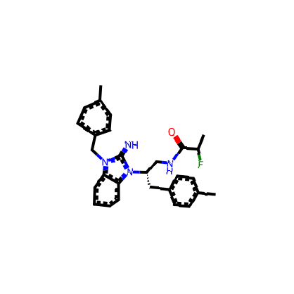 Cc1ccc(C[C@@H](CNC(=O)C(C)F)n2c(=N)n(Cc3ccc(C)cc3)c3ccccc32)cc1